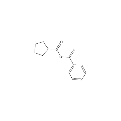 O=C(OS(=O)C1CCCC1)c1ccccc1